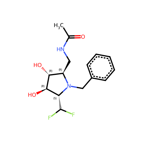 CC(=O)NC[C@@H]1[C@@H](O)[C@H](O)[C@@H](C(F)F)N1Cc1ccccc1